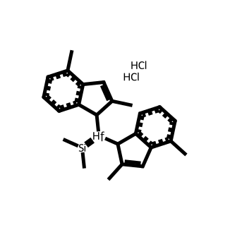 CC1=Cc2c(C)cccc2[CH]1[Hf]([CH]1C(C)=Cc2c(C)cccc21)=[Si](C)C.Cl.Cl